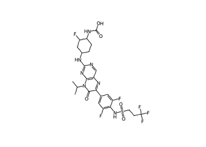 CC(C)n1c(=O)c(-c2cc(F)c(NS(=O)(=O)CCC(F)(F)F)c(F)c2)nc2cnc(NC3CCC(NC(=O)O)C(F)C3)nc21